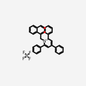 F[B-](F)(F)F.c1ccc(-c2cc(-c3ccccc3)[n+](Cc3cccc4ccccc34)c(-c3ccccc3)c2)cc1